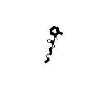 CCOCCOC(=O)Oc1ccccc1C